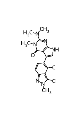 CN(C)c1nc2[nH]cc(-c3ccc4nn(C)c(Cl)c4c3Cl)c2c(=O)n1C